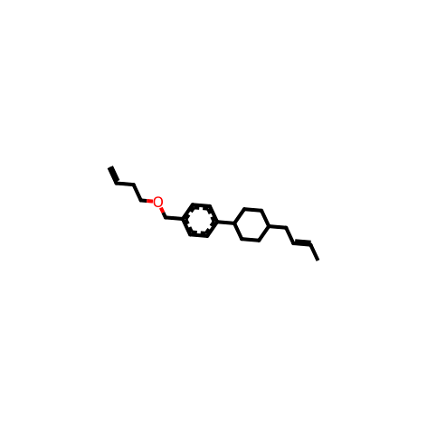 C=CCCOCc1ccc(C2CCC(CC=CC)CC2)cc1